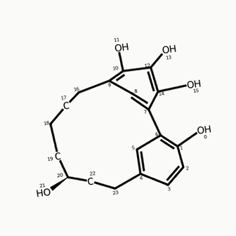 Oc1ccc2cc1-c1cc(c(O)c(O)c1O)CCCC[C@H](O)CC2